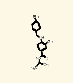 Cc1cc(C(=O)NC(C)C)ccc1NCc1ccc(N)cc1